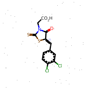 O=C(O)CN1C(=O)/C(=C/c2ccc(Cl)c(Cl)c2)SC1=S